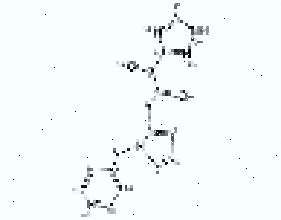 O=C(Cc1cccn1Cc1ccncc1)C(=O)c1nn[nH]n1